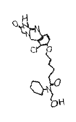 O=C1CN2Cc3c(ccc(OCCCCCC(=O)N(CCO)C4CCCCC4)c3Cl)N=C2N1